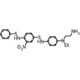 CCN(CCN)c1ccc(NSc2ccc(NSc3ccccc3)c([N+](=O)[O-])c2)cc1